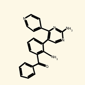 Nc1ncc(-c2cccc(C(=O)c3ccccc3)c2N)c(-c2ccncc2)n1